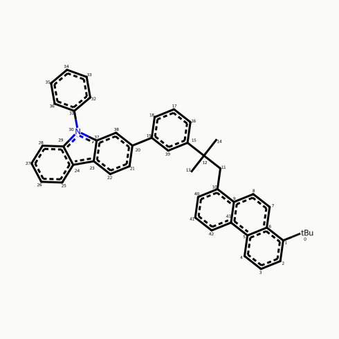 CC(C)(C)c1cccc2c1ccc1c(CC(C)(C)c3cccc(-c4ccc5c6ccccc6n(-c6ccccc6)c5c4)c3)cccc12